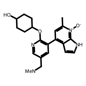 CNCc1cnc(OC2CCC(O)CC2)c(-c2cc(C)[n+]([O-])c3[nH]ccc23)c1